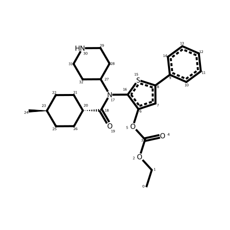 CCOC(=O)Oc1cc(-c2ccccc2)sc1N(C(=O)[C@H]1CC[C@H](C)CC1)C1CCNCC1